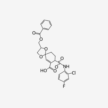 O=C(O)C1=CC2(CCC1S(=O)(=O)Nc1ccc(F)cc1Cl)OCC(COC(=O)c1ccccc1)O2